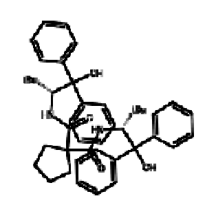 CC(C)(C)[C@@H](NC(=O)C1(C(=O)N[C@H](C(C)(C)C)C(O)(c2ccccc2)c2ccccc2)CCCC1)C(O)(c1ccccc1)c1ccccc1